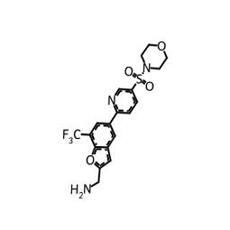 NCc1cc2cc(-c3ccc(S(=O)(=O)N4CCOCC4)cn3)cc(C(F)(F)F)c2o1